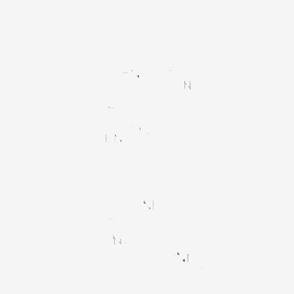 CN1C=CC(Nc2cccc(C(=O)Nc3ccc(Nc4ccnc5ccc(N)cc45)cc3)c2)C=C1